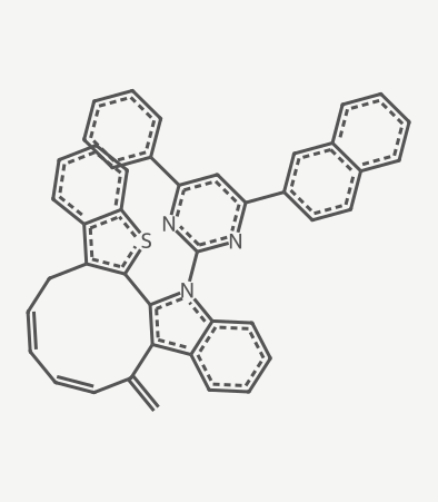 C=C1/C=C\C=C/Cc2c(sc3ccccc23)-c2c1c1ccccc1n2-c1nc(-c2ccccc2)cc(-c2ccc3ccccc3c2)n1